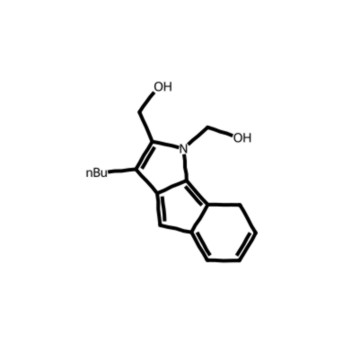 CCCCc1c(CO)n(CO)c2c1=CC1=CC=CCC=21